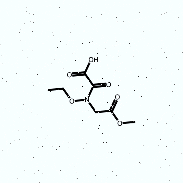 CCON(CC(=O)OC)C(=O)C(=O)O